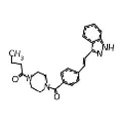 CCCC(=O)N1CCN(C(=O)c2ccc(C=Cc3n[nH]c4ccccc34)cc2)CC1